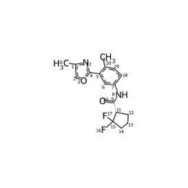 Cc1coc(-c2cc(NC(=O)[C@@H]3CCCC3(F)F)ccc2C)n1